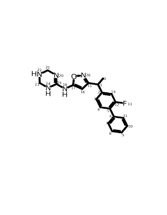 CC(c1ccc(-c2ccccc2)c(F)c1)c1cc(NC2=NCNCN2)on1